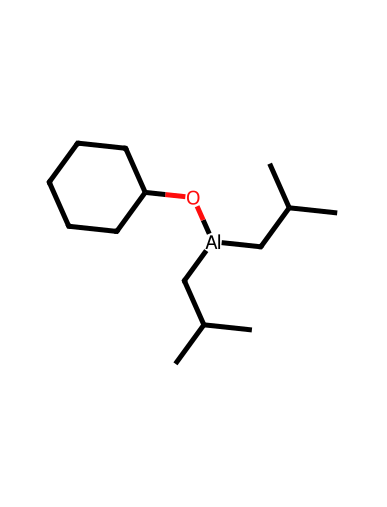 CC(C)[CH2][Al]([CH2]C(C)C)[O]C1CCCCC1